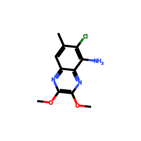 COc1nc2cc(C)c(Cl)c(N)c2nc1OC